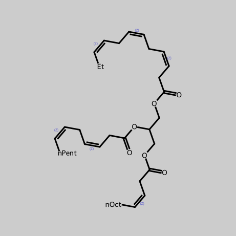 CC/C=C\C/C=C\C/C=C\CC(=O)OCC(COC(=O)C/C=C\CCCCCCCC)OC(=O)C/C=C\C/C=C\CCCCC